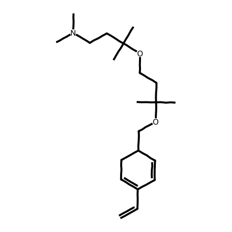 C=CC1=CCC(COC(C)(C)CCOC(C)(C)CCN(C)C)C=C1